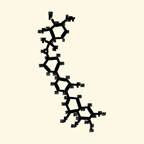 CCCc1ccc(C(F)(F)Oc2ccc(-c3ccc(-c4cc(F)c5c(F)c(F)c(F)cc5c4)c(F)c3)cc2)c(F)c1F